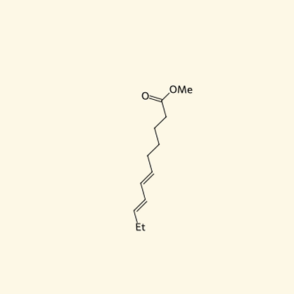 CC/C=C/C=C/CCCCC(=O)OC